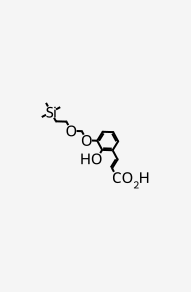 C[Si](C)(C)CCOCOc1cccc(C=CC(=O)O)c1O